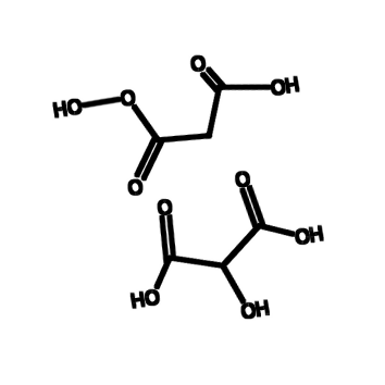 O=C(O)C(O)C(=O)O.O=C(O)CC(=O)OO